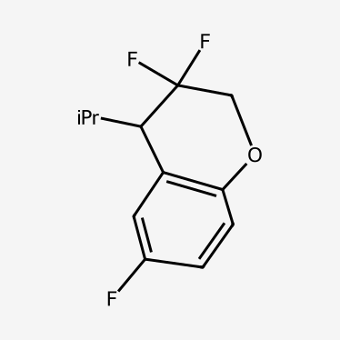 CC(C)C1c2cc(F)ccc2OCC1(F)F